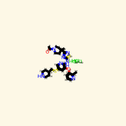 CC(=O)N1CCC(C)(c2nsc(Nc3ncc(SCC4CCNCC4)cc3Oc3cccnc3C)n2)CC1.Cl.Cl.Cl